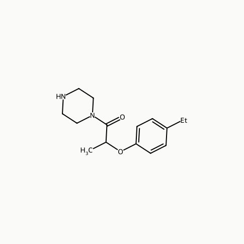 CCc1ccc(OC(C)C(=O)N2CCNCC2)cc1